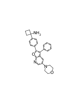 NC1(c2ccc(-c3oc4ncc(N5CCOCC5)cc4c3-c3ccccc3)cc2)CCC1